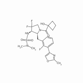 Cc1nc(-c2cccc(C[C@H]3[C@@H](NS(=O)(=O)N(C)C)C(F)(F)CN3C(=O)C3(O)CCC3)c2F)co1